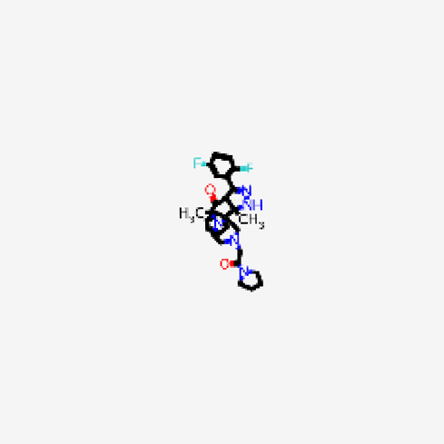 CC(C(=O)C1C(c2cc(F)ccc2F)=NNC1(C)c1ccccc1)N1CCN(CC(=O)N2CCCC2)CC1